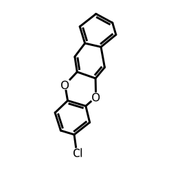 Clc1ccc2c(c1)Oc1cc3ccccc3cc1O2